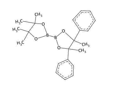 CC1(C)OB(B2OC(C)(c3ccccc3)C(C)(c3ccccc3)O2)OC1(C)C